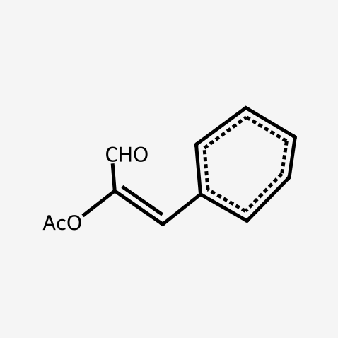 CC(=O)OC(C=O)=Cc1ccccc1